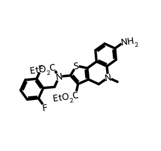 CCOC(=O)c1c(N(Cc2c(F)cccc2F)C(=O)OCC)sc2c1CN(C)c1cc(N)ccc1-2